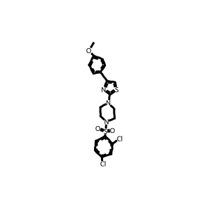 COc1ccc(-c2csc(N3CCN(S(=O)(=O)c4ccc(Cl)cc4Cl)CC3)n2)cc1